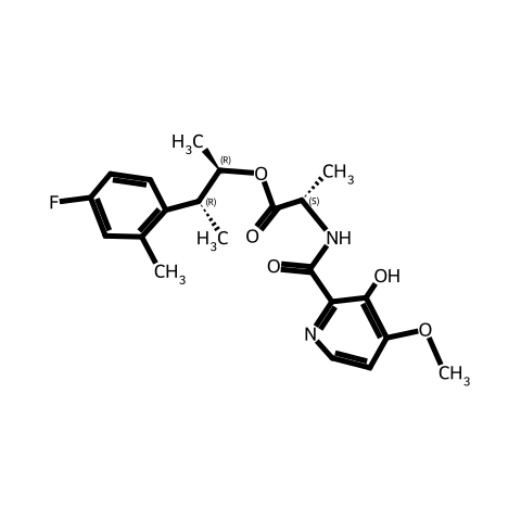 COc1ccnc(C(=O)N[C@@H](C)C(=O)O[C@H](C)[C@H](C)c2ccc(F)cc2C)c1O